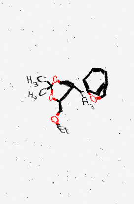 CCOCC1OC(C)(C)OCC1C.c1cc2cc(c1)OC2